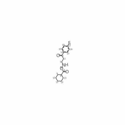 O=C(CCNOC(=O)C1CCCCC1)c1ccc(F)cc1